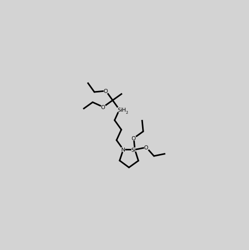 CCOC(C)(OCC)[SiH2]CCCN1CCC[Si]1(OCC)OCC